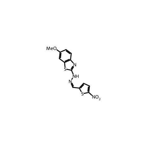 COc1ccc2nc(N/N=C\c3ccc([N+](=O)[O-])s3)sc2c1